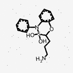 NCCCC1Oc2ccccc2N(c2ccccc2)S1(O)O